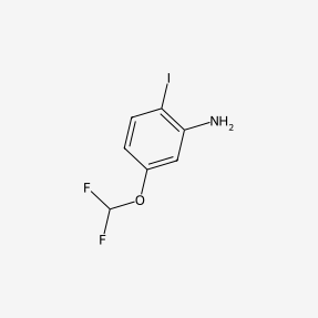 Nc1cc(OC(F)F)ccc1I